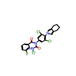 O=C(NCl)N(C(=O)c1cccc(F)c1)c1cc(Cl)c(-n2cc3c(c2)CCCC3)c(Cl)c1